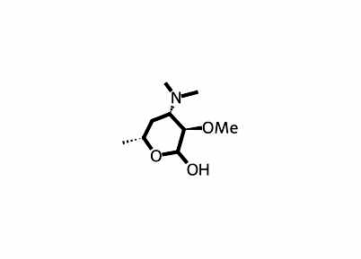 CO[C@H]1C(O)O[C@H](C)C[C@@H]1N(C)C